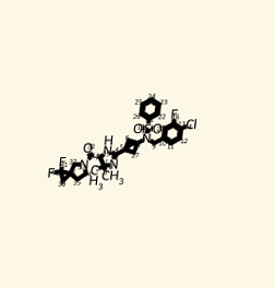 CC1(C)N=C(C23CC(N(Cc4ccc(Cl)c(F)c4)S(=O)(=O)c4ccccc4)(C2)C3)N[C@H]1C(=O)N1CCC2(C1)CC2(F)F